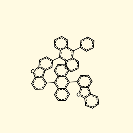 c1ccc(-c2c3ccccc3c(-c3ccc4oc5cccc(-c6c7ccccc7c(-c7cccc8c7oc7ccccc78)c7ccccc67)c5c4c3)c3ccccc23)cc1